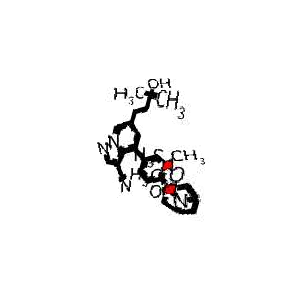 CC(C)(O)CCc1cc(-c2ccc(N3CC4CC(C3)N4C(=O)OC(C)(C)C)nc2)c2c(C#N)cnn2c1